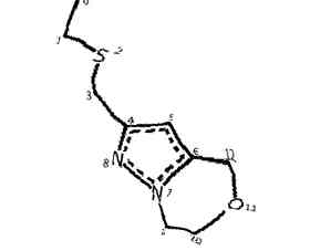 CCSCc1cc2n(n1)CCOC2